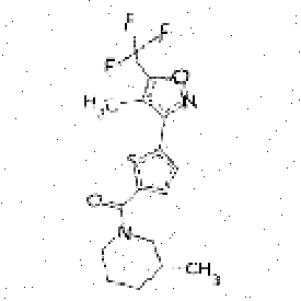 Cc1c(-c2ccc(C(=O)N3CCCC(C)C3)s2)noc1C(F)(F)F